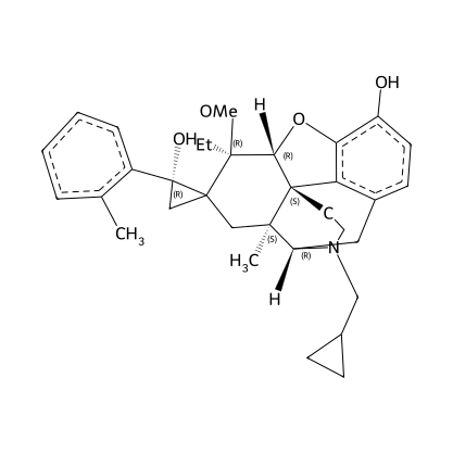 CC[C@]1(OC)[C@@H]2Oc3c(O)ccc4c3[C@@]23CCN(CC2CC2)[C@H](C4)[C@@]3(C)CC12C[C@@]2(O)c1ccccc1C